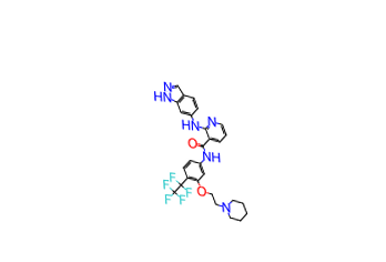 O=C(Nc1ccc(C(F)(F)C(F)(F)F)c(OCCN2CCCCC2)c1)c1cccnc1Nc1ccc2cn[nH]c2c1